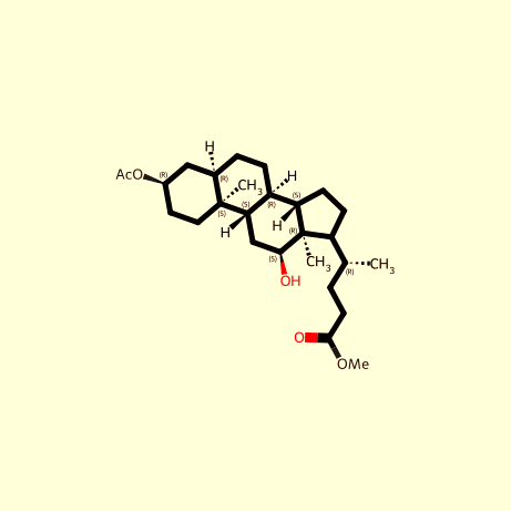 COC(=O)CC[C@@H](C)C1CC[C@H]2[C@@H]3CC[C@@H]4C[C@H](OC(C)=O)CC[C@]4(C)[C@H]3C[C@H](O)[C@]12C